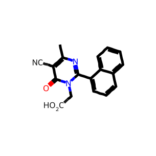 Cc1nc(-c2cccc3ccccc23)n(CC(=O)O)c(=O)c1C#N